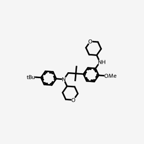 COc1ccc(C(C)(C)CN(c2ccc(C(C)(C)C)cc2)C2CCOCC2)cc1NC1CCOCC1